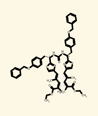 CCOC(=O)/C(C)=C\C(C)=C\c1csc([C@H](Cc2ccc(OCc3ccccc3)cc2)NC(=O)N[C@@H](Cc2ccc(OCc3ccccc3)cc2)c2nc(/C=C(C)/C=C(/C)C(=O)OCC)cs2)n1